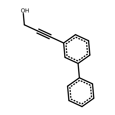 OCC#Cc1cccc(-c2ccccc2)c1